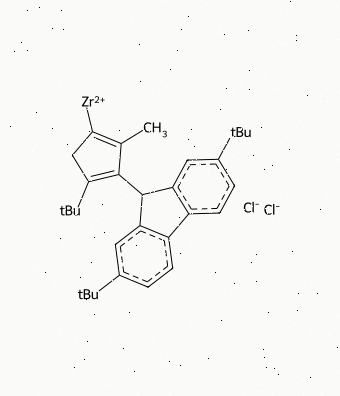 CC1=[C]([Zr+2])CC(C(C)(C)C)=C1C1c2cc(C(C)(C)C)ccc2-c2ccc(C(C)(C)C)cc21.[Cl-].[Cl-]